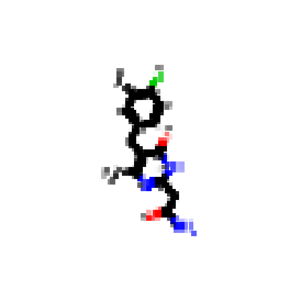 NC(=O)Cc1nc(C(F)(F)F)c(Cc2ccc(Cl)c(C(F)(F)F)c2)c(=O)[nH]1